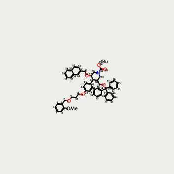 COc1ccccc1COCCCOc1ccc(C2C(COC(c3ccccc3)(c3ccccc3)c3ccccc3)CN(C(=O)OC(C)(C)C)CC2OCc2ccc3ccccc3c2)cc1